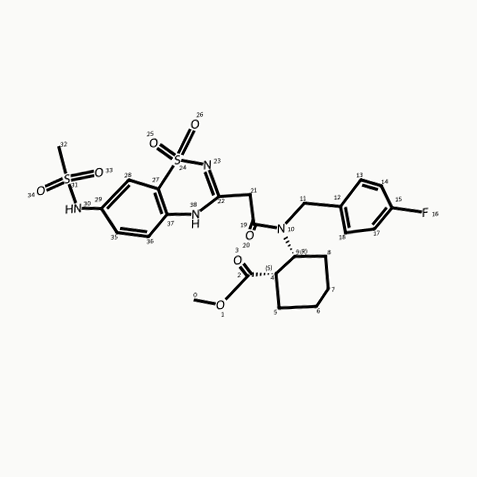 COC(=O)[C@H]1CCCC[C@H]1N(Cc1ccc(F)cc1)C(=O)CC1=NS(=O)(=O)c2cc(NS(C)(=O)=O)ccc2N1